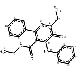 CCOC(=O)c1c(-c2ccccc2)nn(CC)c(=O)c1Nc1cccnc1